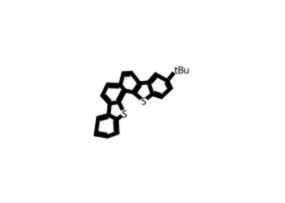 CC(C)(C)c1ccc2sc3c(ccc4ccc5c6ccccc6sc5c43)c2c1